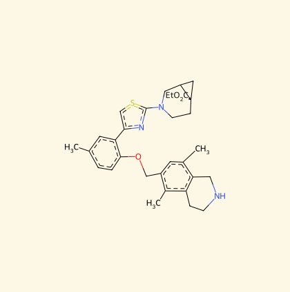 CCOC(=O)[C@@]12CCN(c3nc(-c4cc(C)ccc4OCc4cc(C)c5c(c4C)CCNC5)cs3)CC1C2